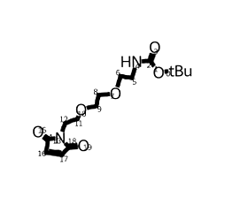 CC(C)(C)OC(=O)NCCOCCOCCN1C(=O)C=CC1=O